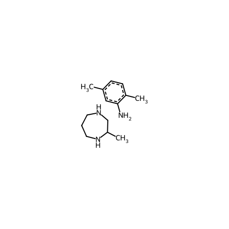 CC1CNCCCN1.Cc1ccc(C)c(N)c1